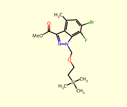 COC(=O)c1nn(COCC[Si](C)(C)C)c2c(F)c(Br)cc(C)c12